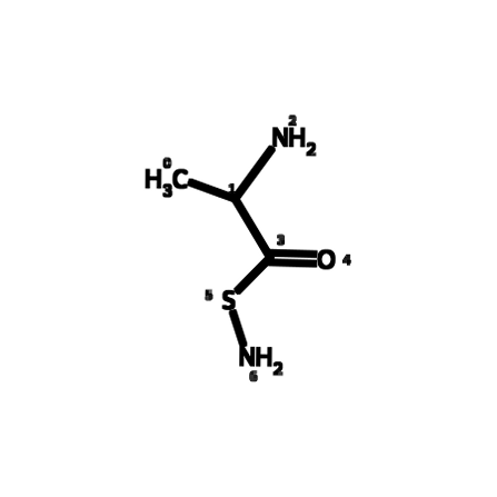 CC(N)C(=O)SN